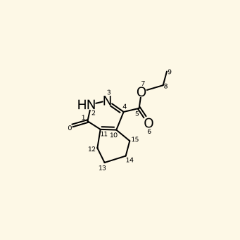 C=C1NN=C(C(=O)OCC)C2=C1CCCC2